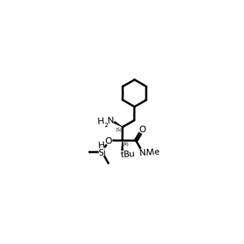 CNC(=O)[C@](O[SiH](C)C)([C@@H](N)CC1CCCCC1)C(C)(C)C